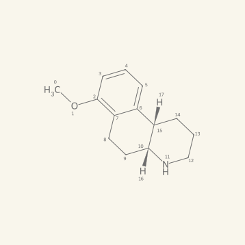 COc1cccc2c1CC[C@H]1NCCC[C@@H]21